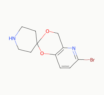 Brc1ccc2c(n1)COC1(CCNCC1)O2